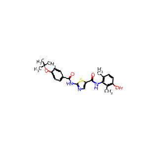 Cc1ccc(O)c(C)c1NC(=O)c1cnc(NC(=O)c2ccc(OC(C)(C)C)cc2)s1